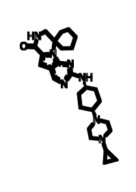 O=C1NCC2(CCCCC2)n2c1cc1cnc(N[C@H]3CC[C@H](N4CCN(C5CC5)CC4)CC3)nc12